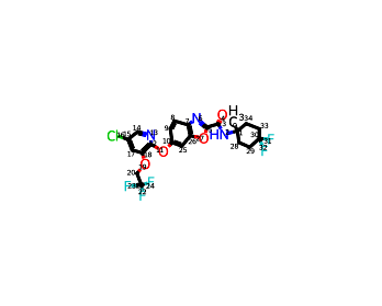 CC1(NC(=O)c2nc3ccc(Oc4ncc(Cl)cc4OCC(F)(F)F)cc3o2)CCC(F)(F)CC1